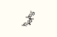 COc1ncccc1-c1ccc(O)c(-c2nc3cc(C(=O)NCC4CCCNC4)ccc3[nH]2)c1